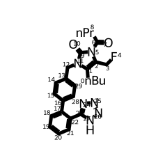 CCCCc1c(CF)n(C(=O)CCC)c(=O)n1Cc1ccc(-c2ccccc2-c2nnn[nH]2)cc1